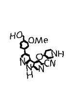 COc1cc(-c2cnc3[nH]c4cnc(C#N)c(OC5CCNCC5)c4c3c2)ccc1CO